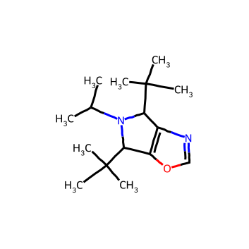 CC(C)N1C(C(C)(C)C)c2ncoc2C1C(C)(C)C